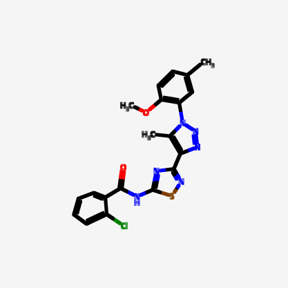 COc1ccc(C)cc1-n1nnc(-c2nsc(NC(=O)c3ccccc3Cl)n2)c1C